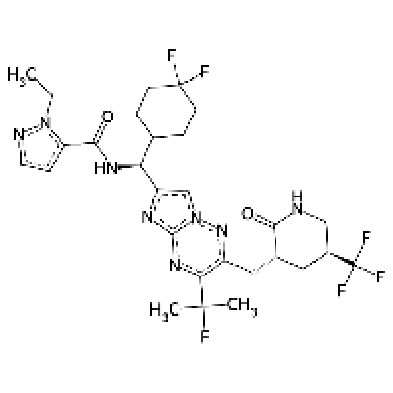 CCn1nccc1C(=O)N[C@H](c1cn2nc(C[C@H]3C[C@H](C(F)(F)F)CNC3=O)c(C(C)(C)F)nc2n1)C1CCC(F)(F)CC1